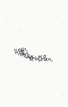 COC(=O)c1ccc(OCc2csc(N3CCN(C(=O)OC(C)(C)C)CC3)n2)cc1